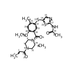 C=CC(=O)N1CCN(C(=O)c2cc(Sc3cnc(NC(C)=O)s3)c(C)cc2OC)[C@H](C)C1